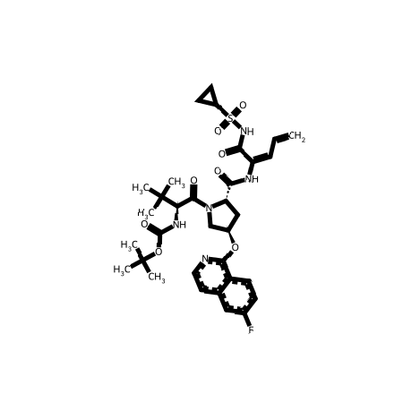 C=C/C=C(/NC(=O)[C@@H]1C[C@@H](Oc2nccc3cc(F)ccc23)CN1C(=O)[C@@H](NC(=O)OC(C)(C)C)C(C)(C)C)C(=O)NS(=O)(=O)C1CC1